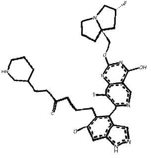 O=C(CCCc1c(Cl)cc2[nH]ncc2c1-c1ncc2c(O)nc(OC[C@@]34CCCN3C[C@H](F)C4)nc2c1F)CCC1CCCNC1